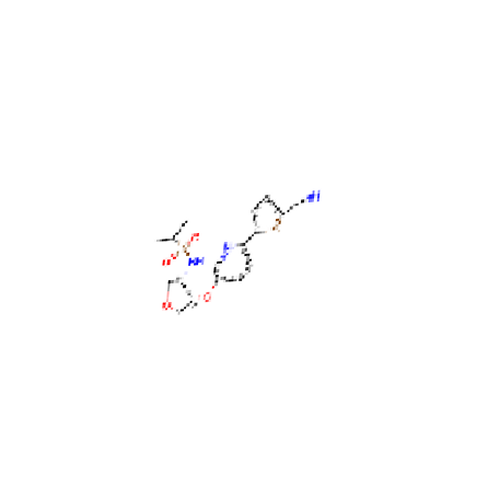 CC(C)S(=O)(=O)N[C@H]1COC[C@H]1Oc1ccc(-c2ccc(C#N)s2)nc1